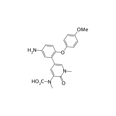 COc1ccc(Oc2ccc(N)cc2-c2cc(N(C)C(=O)O)c(=O)n(C)c2)cc1